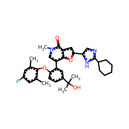 Cc1cc(F)cc(C)c1Oc1ccc(C(C)(C)O)cc1-c1cn(C)c(=O)c2cc(-c3cnc(C4CCCCC4)[nH]3)oc12